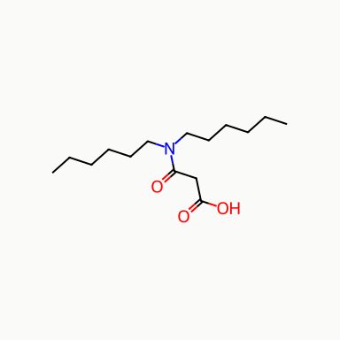 CCCCCCN(CCCCCC)C(=O)CC(=O)O